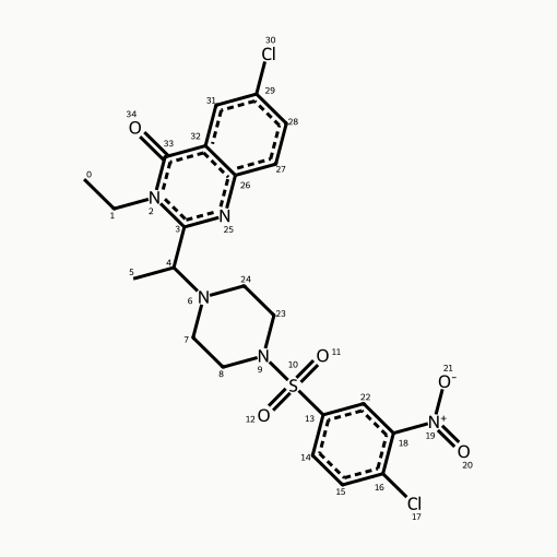 CCn1c(C(C)N2CCN(S(=O)(=O)c3ccc(Cl)c([N+](=O)[O-])c3)CC2)nc2ccc(Cl)cc2c1=O